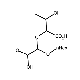 CCCCCCOC(OC(C(=O)O)C(C)O)C(O)O